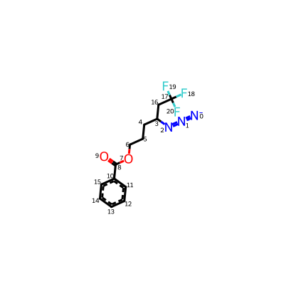 [N-]=[N+]=NC(CCCOC(=O)c1ccccc1)CC(F)(F)F